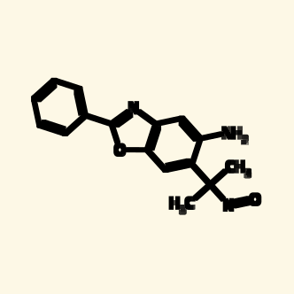 CC(C)(N=O)c1cc2oc(-c3ccccc3)nc2cc1N